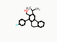 CC(C)c1cc2c(c(-c3ccc(F)cc3)c1CO)CCc1ccccc1-2